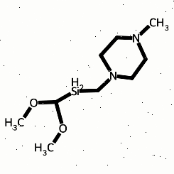 COC(OC)[SiH2]CN1CCN(C)CC1